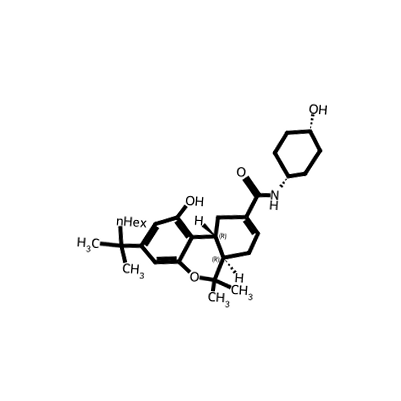 CCCCCCC(C)(C)c1cc(O)c2c(c1)OC(C)(C)[C@@H]1CC=C(C(=O)N[C@H]3CC[C@@H](O)CC3)C[C@@H]21